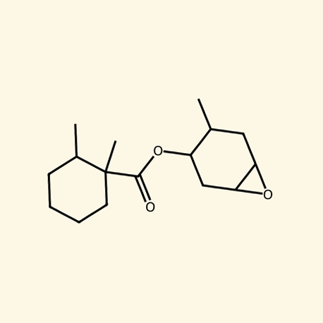 CC1CC2OC2CC1OC(=O)C1(C)CCCCC1C